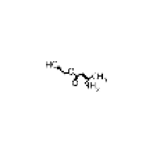 C#CCOC(=O)C=C(C)N